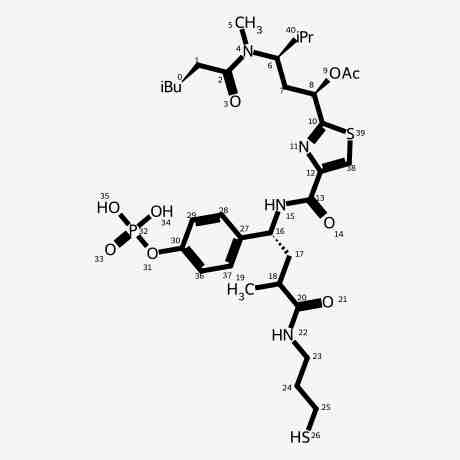 CC[C@H](C)CC(=O)N(C)[C@H](C[C@@H](OC(C)=O)c1nc(C(=O)N[C@H](CC(C)C(=O)NCCCS)c2ccc(OP(=O)(O)O)cc2)cs1)C(C)C